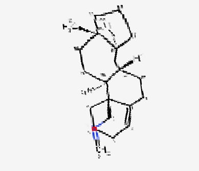 C=NC[C@]12CCCC=C1CC[C@H]1[C@@H]3CCC[C@@]3(C)CC[C@@H]12